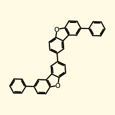 c1ccc(-c2ccc3oc4ccc(-c5ccc6oc7ccc(-c8ccccc8)cc7c6c5)cc4c3c2)cc1